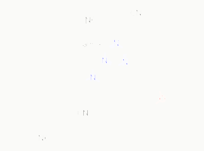 N#Cc1ccc(-c2ccc3c4ccc(-c5ccc(C#N)cc5C#N)cc4n(-c4ccc(-c5cccc6oc7ccccc7c56)cc4-c4nc(-c5ccccc5)nc(-c5ccccc5)n4)c3c2)c(C#N)c1